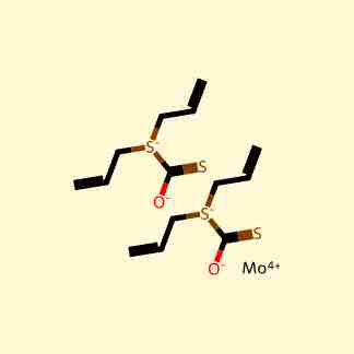 C=CC[S-](CC=C)C([O-])=S.C=CC[S-](CC=C)C([O-])=S.[Mo+4]